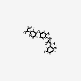 CNC(=O)c1cc(Oc2ccc(NC(=O)Nc3cc(F)ccc3F)c(F)c2)ccn1